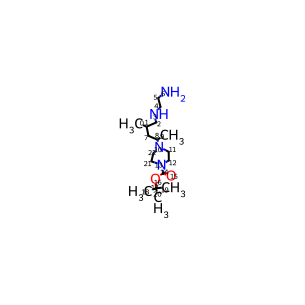 CC(CNCCN)CC(C)N1CCN(C(=O)OC(C)(C)C)CC1